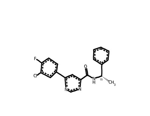 C[C@H](NC(=O)c1cc(-c2ccc(F)c(Cl)c2)ncn1)c1ccccc1